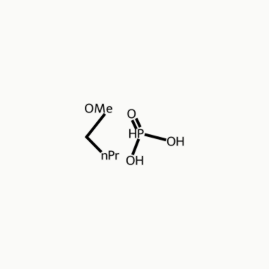 CCCCOC.O=[PH](O)O